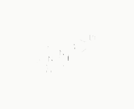 C[C@@H]1COC(=O)N1c1nc(-c2ccc(Br)cc2)cs1